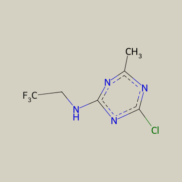 Cc1nc(Cl)nc(NCC(F)(F)F)n1